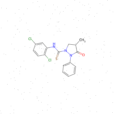 CC1CN(C(=S)Nc2cc(Cl)ccc2Cl)N(c2ccccc2)C1=O